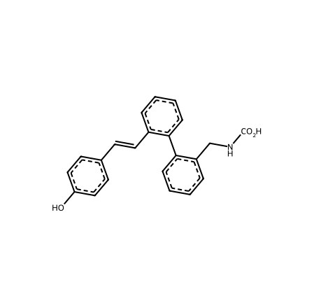 O=C(O)NCc1ccccc1-c1ccccc1C=Cc1ccc(O)cc1